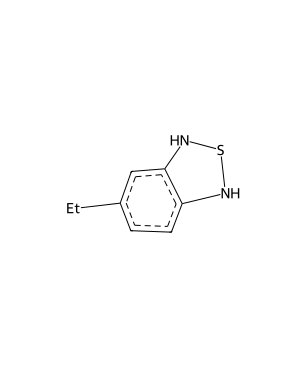 CCc1ccc2c(c1)NSN2